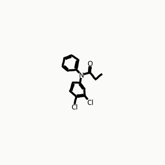 CCC(=O)N(c1ccccc1)c1ccc(Cl)c(Cl)c1